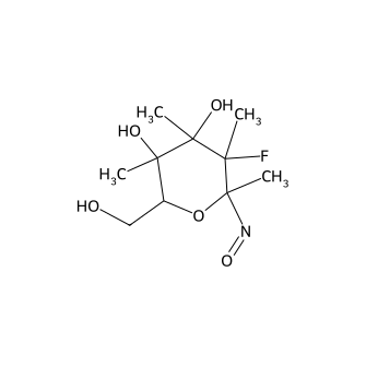 CC1(N=O)OC(CO)C(C)(O)C(C)(O)C1(C)F